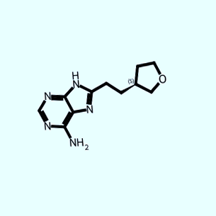 Nc1ncnc2[nH]c(CC[C@H]3CCOC3)nc12